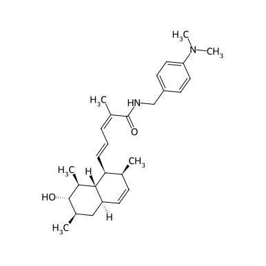 CC(=CC=C[C@@H]1[C@H]2[C@H](C)[C@@H](O)[C@H](C)C[C@@H]2C=C[C@@H]1C)C(=O)NCc1ccc(N(C)C)cc1